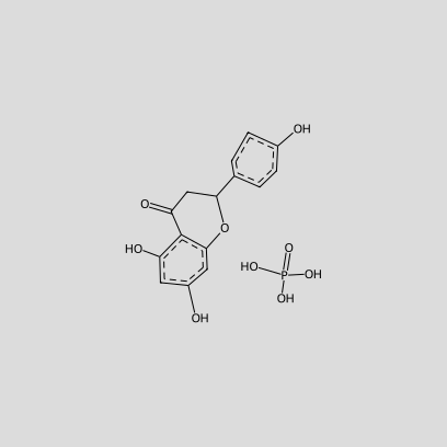 O=C1CC(c2ccc(O)cc2)Oc2cc(O)cc(O)c21.O=P(O)(O)O